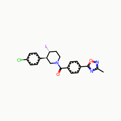 Cc1noc(-c2ccc(C(=O)N3CC[C@@H](I)[C@H](c4ccc(Cl)cc4)C3)cc2)n1